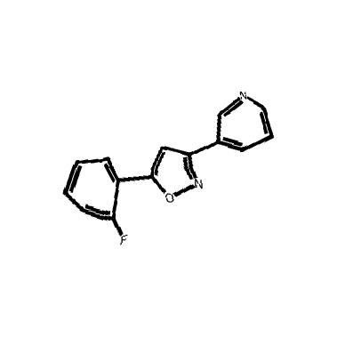 Fc1ccccc1-c1cc(-c2cccnc2)no1